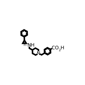 O=C(O)c1ccc(CN2CCC(CN[C@@H]3CC3c3ccccc3)CC2)cc1